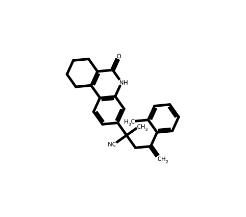 C=C(CC(C)(C#N)c1ccc2c3c(c(=O)[nH]c2c1)CCCC3)c1ccccc1C